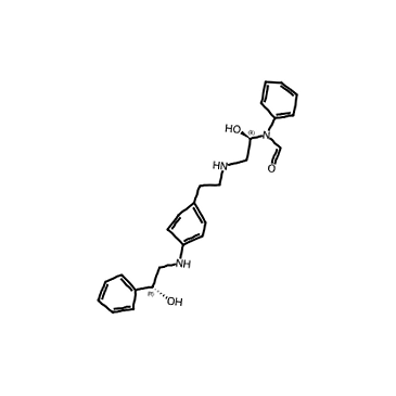 O=CN(c1ccccc1)[C@H](O)CNCCc1ccc(NC[C@H](O)c2ccccc2)cc1